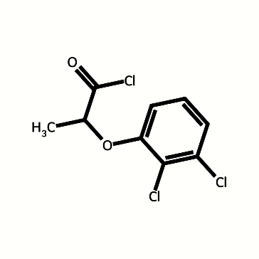 CC(Oc1cccc(Cl)c1Cl)C(=O)Cl